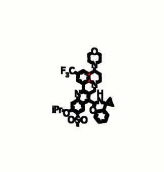 CC(C)Oc1cc2nc(-c3cccc(C(F)(F)F)c3)c(CN3CCC(N4CCOCC4)CC3)c(C(=O)NC3(c4ccccc4)CC3)c2cc1S(C)(=O)=O